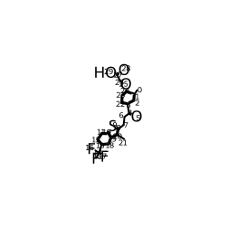 Cc1cc(C(=O)CCc2sc3ccc(C(F)(F)F)cc3c2C)ccc1OCC(=O)O